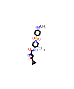 CN[C@H]1CC[C@H](S(=O)(=O)N2CC[C@@H](NC(=O)c3cc(C4CC4)on3)[C@@H](C)C2)CC1